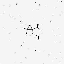 CC(=O)C1(OC=O)CC1(C)C